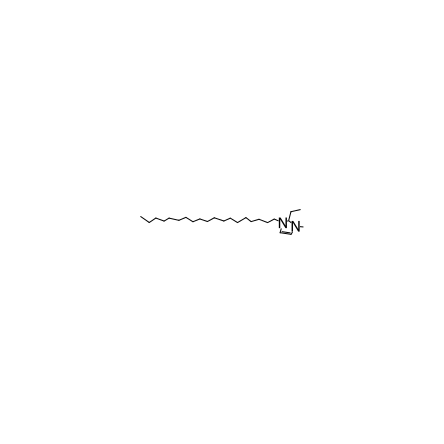 CCCCCCCCCCCCCCCCCCCN1C=CN(C)C1CC